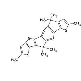 Cc1cc2c(s1)-c1cc3c(cc1C2(C)C)-c1sc2cc(C)sc2c1C3(C)C